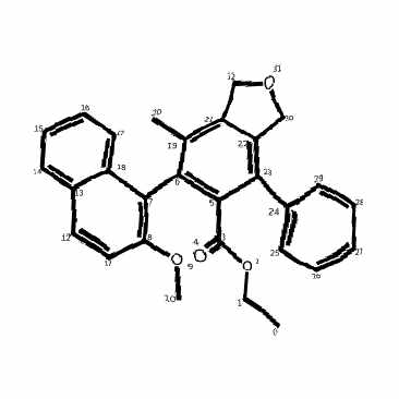 CCOC(=O)c1c(-c2c(OC)ccc3ccccc23)c(C)c2c(c1-c1ccccc1)COC2